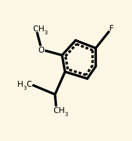 COc1cc(F)ccc1C(C)C